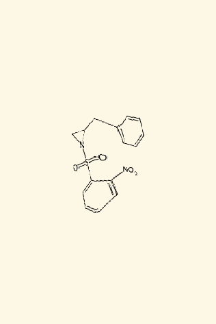 O=[N+]([O-])c1ccccc1S(=O)(=O)N1CC1Cc1ccccc1